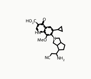 COc1c(N2CC3CCC(C(N)CC#N)C3C2)c(C2CC2)cc2c(=O)c(C(=O)O)c[nH]c12